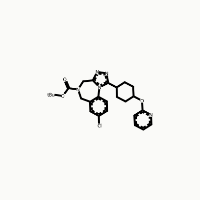 CC(C)(C)OC(=O)N1Cc2cc(Cl)ccc2-n2c(nnc2C2CCC(Oc3ccccn3)CC2)C1